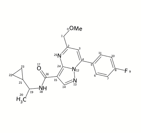 COCc1cc(-c2ccc(F)cc2)n2ncc(C(=O)NC(C)C3CC3)c2n1